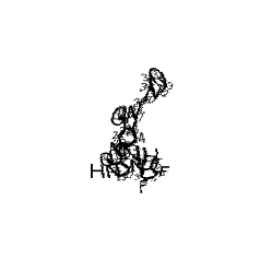 CC(C)N(c1cc(F)cc(F)c1F)c1cc[nH]c(=O)c1-c1nc2cc3c(cc2[nH]1)CN(CCN1CCOCC1)C3=O